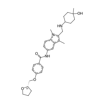 Cc1c(CNC2CCC(C)(O)CC2)n(C)c2ccc(NC(=O)c3ccc(OC[C@@H]4CCCO4)cc3)cc12